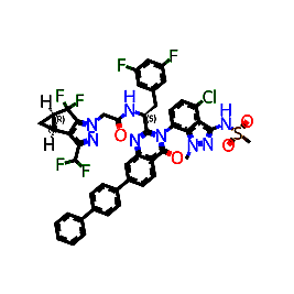 Cn1nc(NS(C)(=O)=O)c2c(Cl)ccc(-n3c([C@H](Cc4cc(F)cc(F)c4)NC(=O)Cn4nc(C(F)F)c5c4C(F)(F)[C@@H]4C[C@H]54)nc4cc(-c5ccc(-c6ccccc6)cc5)ccc4c3=O)c21